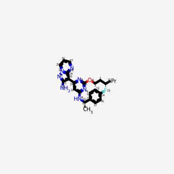 CC(C)CCCOc1nc(N[C@@H](C)c2ccc(F)cc2)cc(-c2c(N)nn3cccnc23)n1